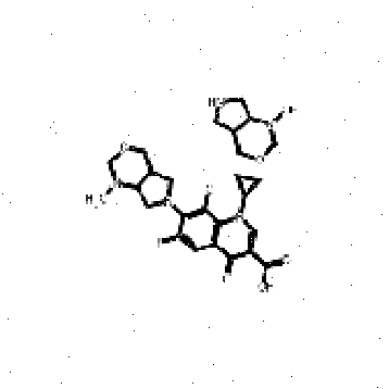 CN1COCC2CN(c3c(F)cc4c(=O)c(C(=O)O)cn(C5CC5)c4c3Cl)CC21.CN1COCC2CNCC21